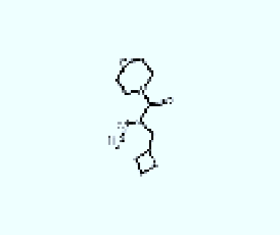 O=C(C(CC1CCC1)NP)N1CCOCC1